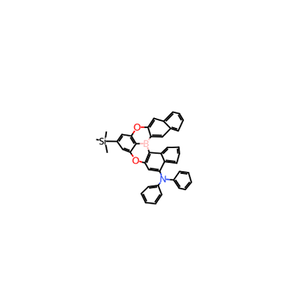 C[Si](C)(C)c1cc2c3c(c1)Oc1cc(N(c4ccccc4)c4ccccc4)c4ccccc4c1B3c1cc3ccccc3cc1O2